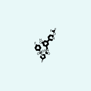 Cc1cc(CNC(=O)[C@@H]2C[C@@H](F)CN2S(=O)(=O)c2ccc(F)cc2)cc(-c2ccc(OC(F)F)nc2)c1